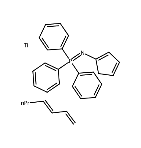 C1=CCC(N=P(c2ccccc2)(c2ccccc2)c2ccccc2)=C1.C=CC=CCCC.[Ti]